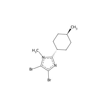 Cn1c(Br)c(Br)nc1[C@H]1CC[C@H](C)CC1